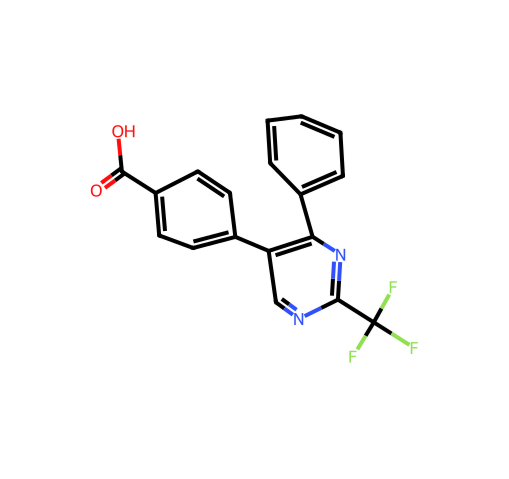 O=C(O)c1ccc(-c2cnc(C(F)(F)F)nc2-c2ccccc2)cc1